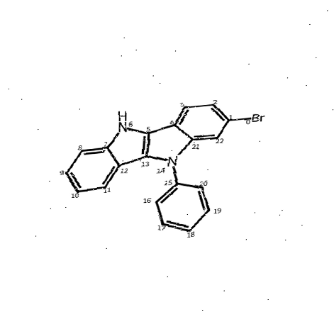 Brc1ccc2c3[nH]c4ccccc4c3n(-c3ccccc3)c2c1